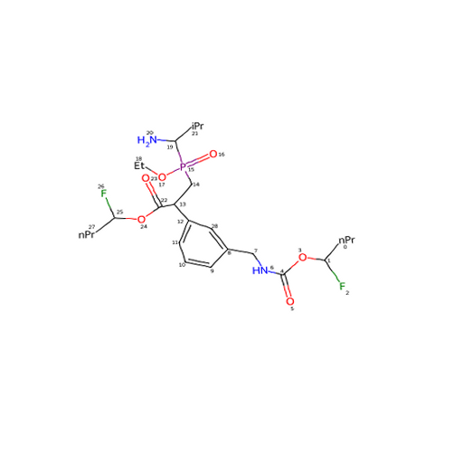 CCCC(F)OC(=O)NCc1cccc(C(CP(=O)(OCC)C(N)C(C)C)C(=O)OC(F)CCC)c1